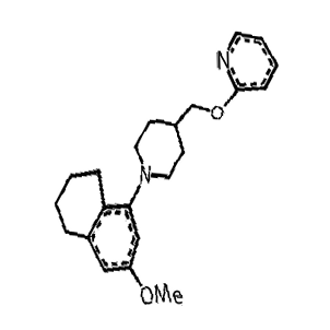 COc1cc2c(c(N3CCC(COc4ccccn4)CC3)c1)CCCC2